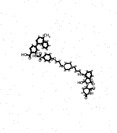 Cc1ccc(-c2ccc(C(=O)O)c(NS(=O)(=O)c3ccc(OCCCN4CCN(CCCNc5cccc6c5C(O)N(C5CCC(=O)NC5=O)C6=O)CC4)cc3)c2)c2ccccc12